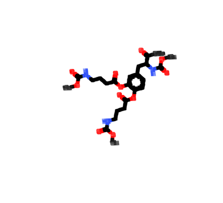 COC(=O)C(Cc1ccc(OC(=O)CCCNC(=O)OC(C)(C)C)c(OC(=O)CCCNC(=O)OC(C)(C)C)c1)NC(=O)OC(C)(C)C